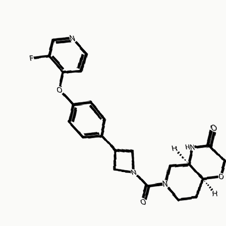 O=C1CO[C@H]2CCN(C(=O)N3CC(c4ccc(Oc5ccncc5F)cc4)C3)C[C@H]2N1